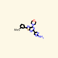 CSc1cccc(-c2nc3c(N4CCOCC4)nc(-c4cnc(N)nc4)nc3s2)c1